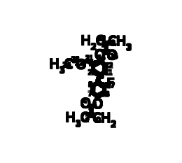 C=C(C)C(=O)Oc1ccc(-c2ccc(OC(=O)C(=C)C)c(COCC)c2)c(F)c1